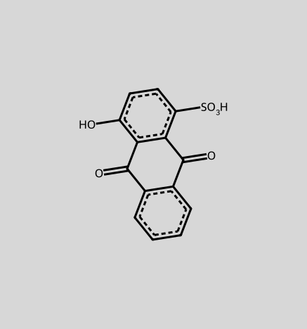 O=C1c2ccccc2C(=O)c2c(S(=O)(=O)O)ccc(O)c21